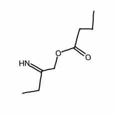 CCCC(=O)OCC(=N)CC